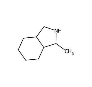 CC1NCC2CCCCC21